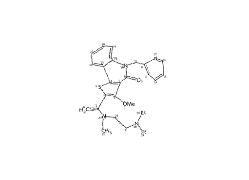 C=C(c1sc2c(c1OC)c(=O)n(Cc1ccccn1)c1ccccc21)N(C)CCN(CC)CC